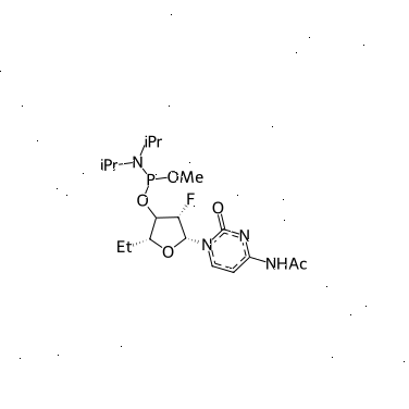 CC[C@H]1O[C@@H](n2ccc(NC(C)=O)nc2=O)[C@@H](F)C1OP(OC)N(C(C)C)C(C)C